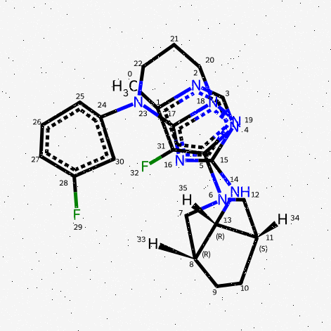 Cc1ncnc(N2C[C@H]3CC[C@@H](C2)[C@H]3Nc2nc3n(n2)CCCN3c2cccc(F)c2)c1F